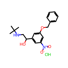 CC(C)(C)NCC(O)c1cc(OCc2ccccc2)cc([N+](=O)[O-])c1.Cl